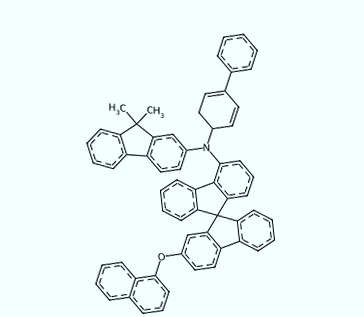 CC1(C)c2ccccc2-c2ccc(N(c3cccc4c3-c3ccccc3C43c4ccccc4-c4ccc(Oc5cccc6ccccc56)cc43)C3C=CC(c4ccccc4)=CC3)cc21